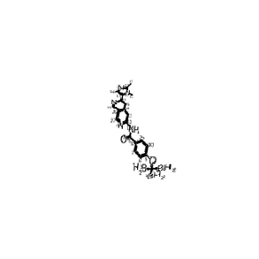 BC(B)(B)Oc1ccc(C(=O)Nc2cc3cc(-c4cnc(C)n4C)ncc3cn2)cc1